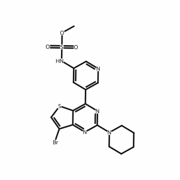 COS(=O)(=O)Nc1cncc(-c2nc(N3CCCCC3)nc3c(Br)csc23)c1